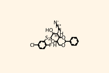 [N-]=[N+]=N[C@@H]1[C@@H](O)[C@@H](Sc2cc(Cl)ccc2F)O[C@@H]2COC(c3ccccc3)O[C@H]12